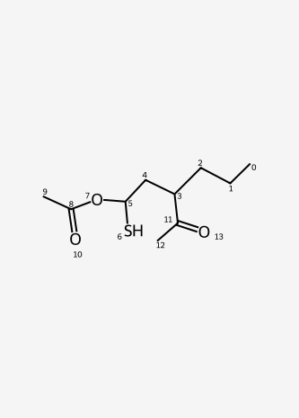 CCCC(CC(S)OC(C)=O)C(C)=O